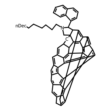 CCCCCCCCCCCCCCCCN1CC23CC4C=c5cc6cc7cc8cc9c%10c%11c%12c(c%13c%14c%15c(c5c5c6c7c6c8c%10c(c%12%14)c6c%155)C4C=%132)=C(CC=%11C9)C3C1c1cccc2ccccc12